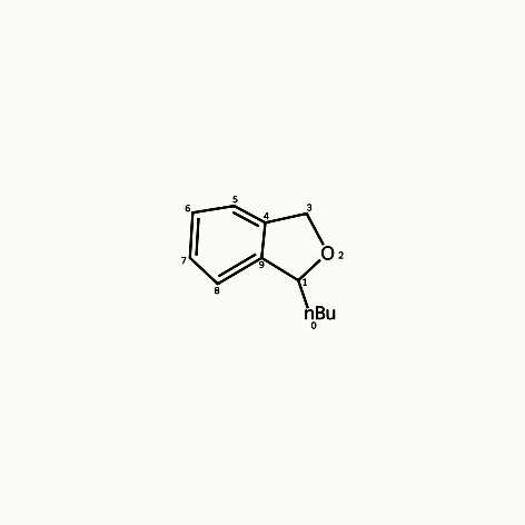 CCCCC1OCc2ccccc21